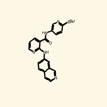 CC(C)(C)c1ccc(NC(=O)c2cccnc2Nc2ccc3ccncc3c2)cn1